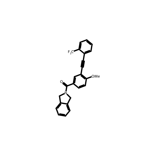 COc1ccc(C(=O)N2Cc3ccccc3C2)cc1C#Cc1ccccc1C(F)(F)F